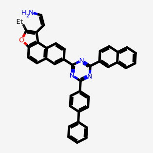 CCc1oc2ccc3cc(-c4nc(-c5ccc(-c6ccccc6)cc5)nc(-c5ccc6ccccc6c5)n4)ccc3c2c1/C=C\N